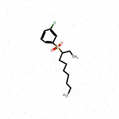 CCCCCCCC(CC)S(=O)(=O)c1cccc(Cl)c1